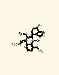 CCCC/C(CC)=C(/c1ccc(F)c2[pH]ccc12)N(C)c1c(CC)cccc1CC